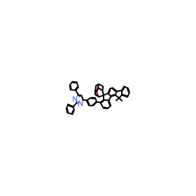 CC1(C)c2ccccc2-c2ccc3c(c21)-c1cccc(-c2ccc(-c4cc(-c5ccccc5)nc(-c5ccccc5)n4)cc2)c1C31C2CC3CC(C2)CC1C3